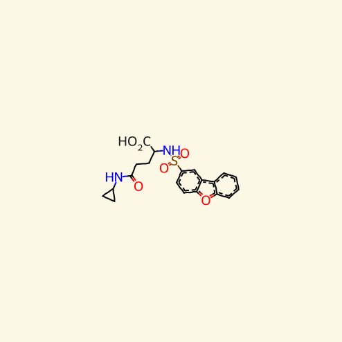 O=C(CCC(NS(=O)(=O)c1ccc2oc3ccccc3c2c1)C(=O)O)NC1CC1